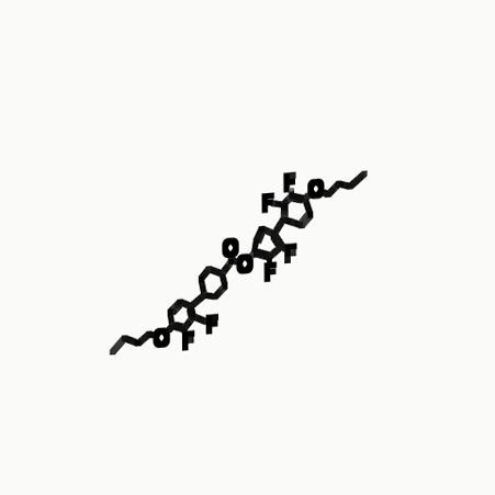 CCCCOc1ccc(-c2ccc(OC(=O)C3CCC(c4ccc(OCCCC)c(F)c4F)CC3)c(F)c2F)c(F)c1F